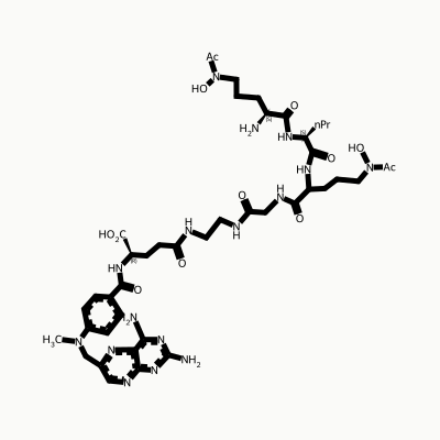 CCC[C@H](NC(=O)[C@@H](N)CCCN(O)C(C)=O)C(=O)NC(CCCN(O)C(C)=O)C(=O)NCC(=O)NCCNC(=O)CC[C@@H](NC(=O)c1ccc(N(C)Cc2cnc3nc(N)nc(N)c3n2)cc1)C(=O)O